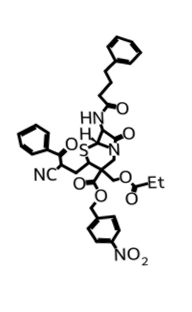 CCC(=O)OCC1(C(=O)OCc2ccc([N+](=O)[O-])cc2)CN2C(=O)C(NC(=O)CCCc3ccccc3)[C@H]2SC1CC(C#N)C(=O)c1ccccc1